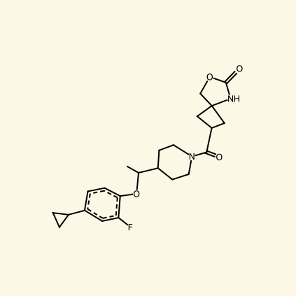 CC(Oc1ccc(C2CC2)cc1F)C1CCN(C(=O)C2CC3(COC(=O)N3)C2)CC1